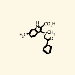 CN(CC(=O)c1ccccc1)c1c(C(=O)O)[nH]c2cc(C(F)(F)F)ccc12